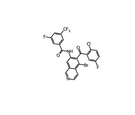 O=C(Nc1cc2cnccc2c(Br)c1C(=O)c1cc(F)ccc1Cl)c1cc(F)cc(C(F)(F)F)c1